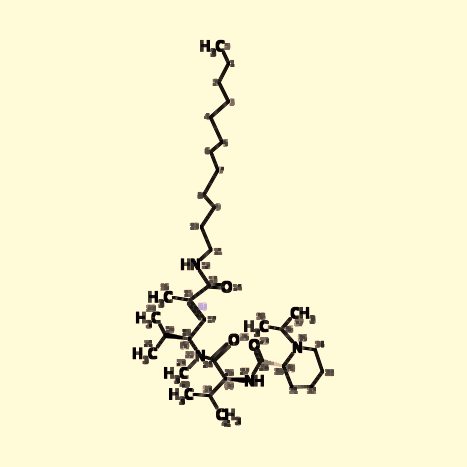 CCCCCCCCCCCCNC(=O)/C(C)=C/[C@H](C(C)C)N(C)C(=O)[C@@H](NC(=O)[C@H]1CCCCN1C(C)C)C(C)C